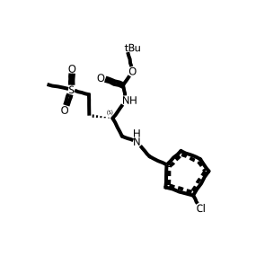 CC(C)(C)OC(=O)N[C@@H](CCS(C)(=O)=O)CNCc1cccc(Cl)c1